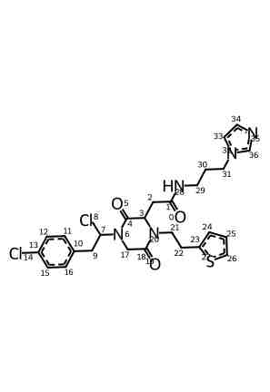 O=C(CC1C(=O)N(C(Cl)Cc2ccc(Cl)cc2)CC(=O)N1CCc1cccs1)NCCCn1ccnc1